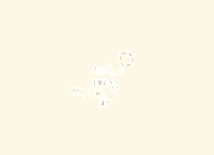 CC(=O)SC(Cc1ccccc1)C(=O)N[C@H](CC(C)C)C(=O)O